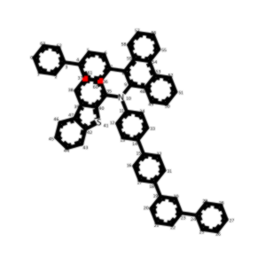 c1ccc(-c2ccc(-c3c(N(c4ccc(-c5ccc(-c6cccc(-c7ccccc7)c6)cc5)cc4)c4cccc5c4sc4ccccc45)c4ccccc4c4ccccc34)cc2)cc1